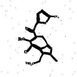 COC1=C(C(=O)c2ccc(C(F)(F)F)s2)CC2=NC(C)=C(CC(=O)O)C2=C1Cl